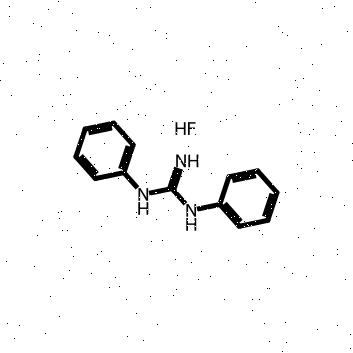 F.N=C(Nc1ccccc1)Nc1ccccc1